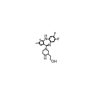 Cc1cc2c(s1)Nc1cc(F)c(F)cc1N=C2N1CCNC(CCO)C1